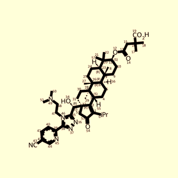 CC(C)C1=C2[C@H]3CC[C@@H]4[C@@]5(C)CC[C@H](OC(=O)CC(C)(C)C(=O)O)C(C)(C)[C@@H]5CC[C@@]4(C)[C@]3(C)CC[C@@]2([C@@H](O)c2nnc(-c3ccc(C#N)cn3)n2CCN(C)C)CC1=O